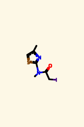 Cc1csc(N(C)C(=O)CI)n1